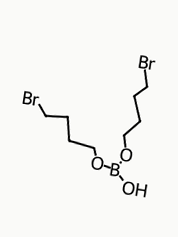 OB(OCCCCBr)OCCCCBr